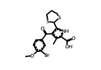 COc1ccc(C(=O)c2c(C3SCCCS3)[nH]c(C(=O)O)c2C)cc1Br